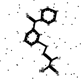 C/C(=C\Cc1cccc(C(=O)c2ccccc2)c1)C(=O)O